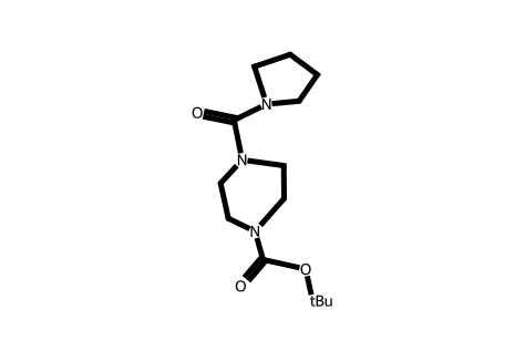 CC(C)(C)OC(=O)N1CCN(C(=O)N2CCCC2)CC1